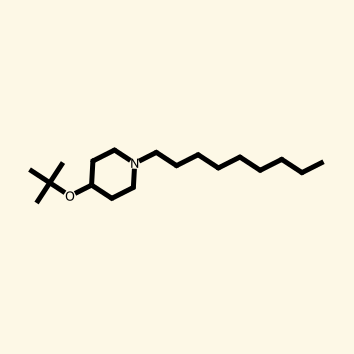 CCCCCCCCCN1CCC(OC(C)(C)C)CC1